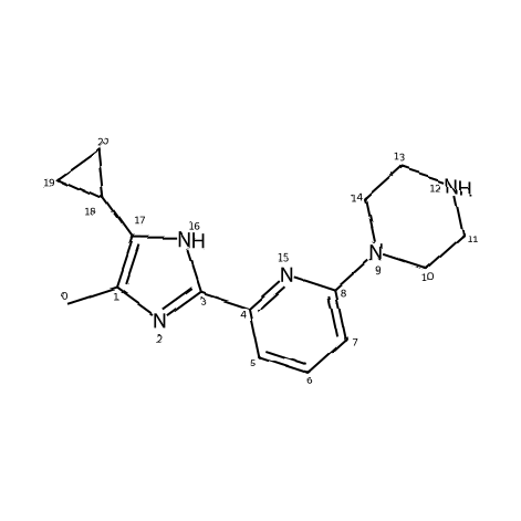 Cc1nc(-c2cccc(N3CCNCC3)n2)[nH]c1C1CC1